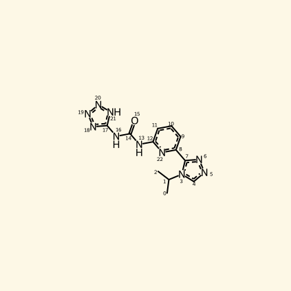 CC(C)n1cnnc1-c1cccc(NC(=O)Nc2nnn[nH]2)n1